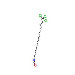 O=C=NCCCCCCCCCCCCCCCCCC[Si](Cl)(Cl)Cl